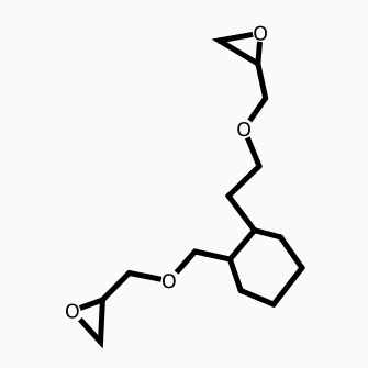 C1CCC(COCC2CO2)C(CCOCC2CO2)C1